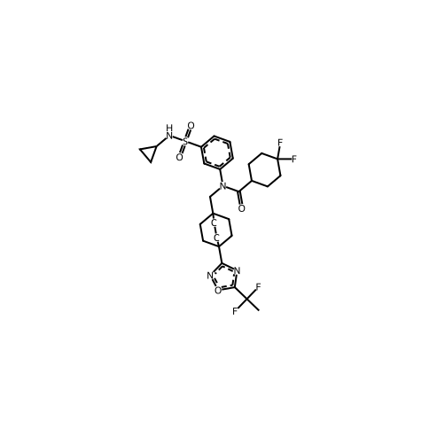 CC(F)(F)c1nc(C23CCC(CN(C(=O)C4CCC(F)(F)CC4)c4cccc(S(=O)(=O)NC5CC5)c4)(CC2)CC3)no1